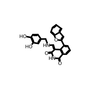 O=C1NC(=O)c2cccc(-c3cc4ccccc4o3)c2C1=CNCc1ccc(O)c(O)c1